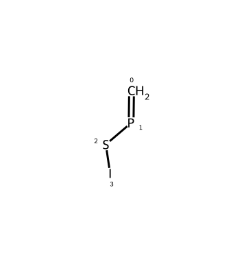 C=PSI